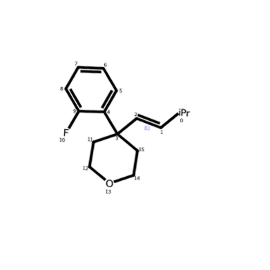 CC(C)/C=C/C1(c2ccccc2F)CCOCC1